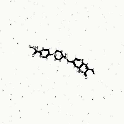 CCc1cc2ncc(CNC3CCN(c4ccc(C(=O)NC)nc4)CC3)cc2[nH]c1=O